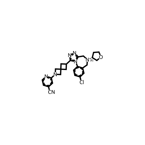 N#Cc1ccnc(N2CC3(CC(c4nnc5n4-c4ccc(Cl)cc4CN([C@@H]4CCOC4)C5)C3)C2)c1